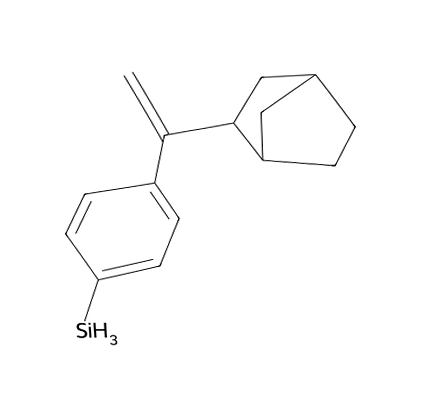 C=C(c1ccc([SiH3])cc1)C1CC2CCC1C2